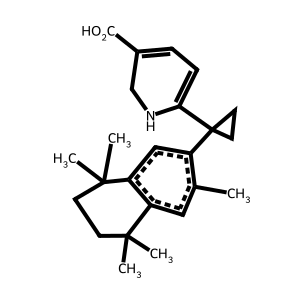 Cc1cc2c(cc1C1(C3=CC=C(C(=O)O)CN3)CC1)C(C)(C)CCC2(C)C